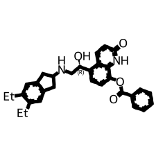 CCc1cc2c(cc1CC)CC(NC[C@H](O)c1ccc(OC(=O)c3ccccc3)c3[nH]c(=O)ccc13)C2